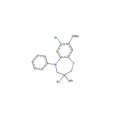 CCCC1(CC)CSc2cc(OC)c(Br)cc2N(c2ccccc2)C1